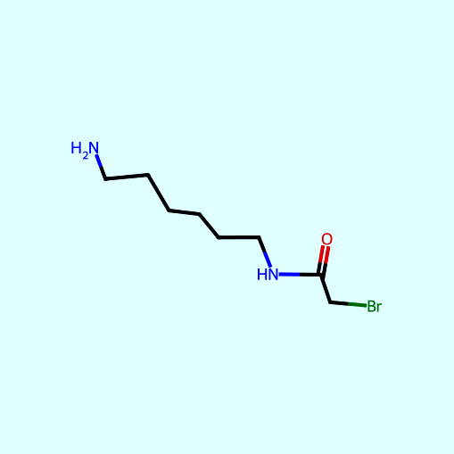 NCCCCCCNC(=O)CBr